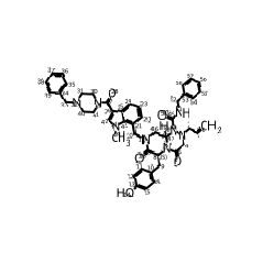 C=CCN1CC(=O)N2[C@@H](Cc3ccc(O)cc3)C(=O)N(Cc3cccc4c(C(=O)N5CCN(Cc6ccccc6)CC5)cn(C)c34)C[C@@H]2N1C(=O)NCc1ccccc1